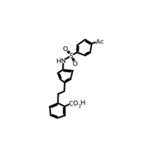 CC(=O)c1ccc(S(=O)(=O)Nc2ccc(CCc3ccccc3C(=O)O)cc2)cc1